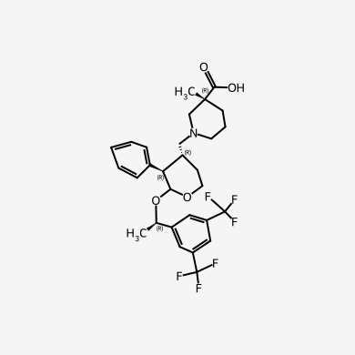 C[C@@H](OC1OCC[C@@H](CN2CCC[C@@](C)(C(=O)O)C2)[C@@H]1c1ccccc1)c1cc(C(F)(F)F)cc(C(F)(F)F)c1